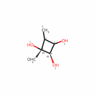 CC1C(O)[C@@H](O)[C@@]1(O)C=O